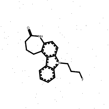 O=C1CCCc2c(ccc3c2c2ccccc2n3CCCF)N1